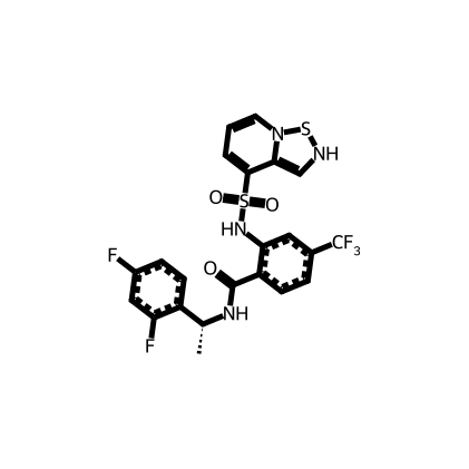 C[C@@H](NC(=O)c1ccc(C(F)(F)F)cc1NS(=O)(=O)C1=CC=CN2SNC=C12)c1ccc(F)cc1F